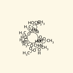 CCC(=O)OCC(O)CN(C)[C@H]1C[C@@H](C)OC(O[C@@H]2C[C@H](OC3C[C@@](C)(CC)[C@@H](O)[C@H](C)O3)[C@@H](C)C(=O)O[C@H](CC)[C@@](C)(O)[C@H](O)[C@@H](C)C(=O)[C@H](C)C[C@H]2O)[C@@H]1O